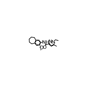 CCn1nc(C(=O)Nc2cc3c(cc2OC)CCCCC3)cc1C